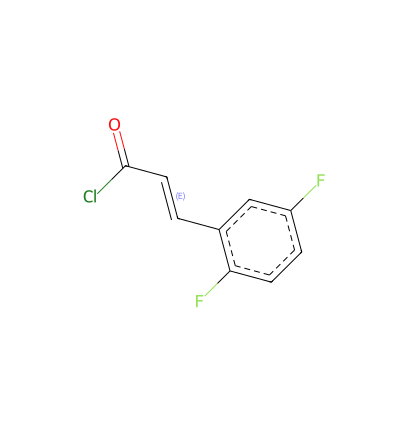 O=C(Cl)/C=C/c1cc(F)ccc1F